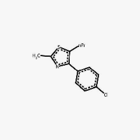 CCCc1sc(C)nc1-c1ccc(Cl)cc1